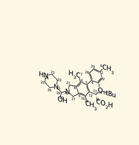 Cc1ccc(-c2c(C)c3c(c(C)c2[C@H](OC(C)(C)C)C(=O)O)CN(C(O)N2CCNCC2)C3)cc1